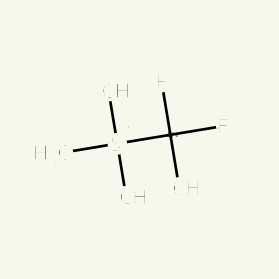 CC(F)(F)[Si](C)(C)C